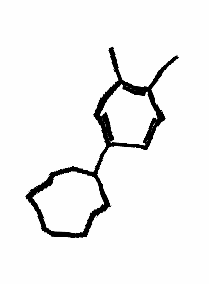 Cc1ccc(C2CCCCC2)cc1C